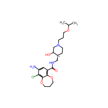 CC(C)OCCCN1CC[C@@H](CNC(=O)c2cc(N)c(Cl)c3c2OCCCO3)C(O)C1